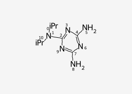 CC(C)N(c1nc(N)nc(N)n1)C(C)C